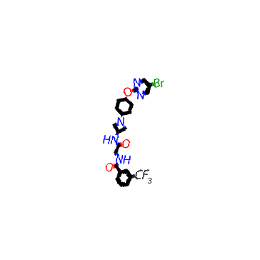 O=C(CNC(=O)c1cccc(C(F)(F)F)c1)NC1CN([C@H]2CC[C@@H](Oc3ncc(Br)cn3)CC2)C1